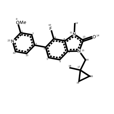 COc1cc(-c2ccc3c(c2F)n(C)c(=O)n3CC2(C)CC2)ccn1